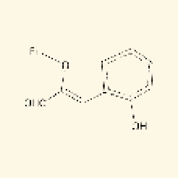 CCOC(C=O)=Cc1ccccc1O